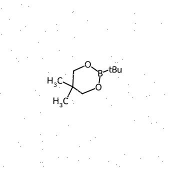 CC1(C)COB(C(C)(C)C)OC1